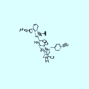 COc1cccc2[nH]c(C(=O)N[C@@H](CC(C)C)C(=O)N[C@H](Cc3ccc(C(C)(C)C)cc3)C[C@@H]3CCNC3=O)cc12